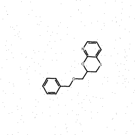 c1ccc(COCC2CSc3cccnc3O2)cc1